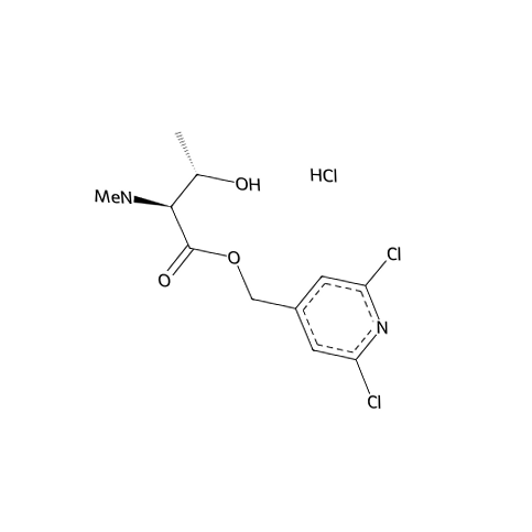 CN[C@H](C(=O)OCc1cc(Cl)nc(Cl)c1)[C@H](C)O.Cl